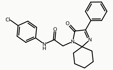 O=C(CN1C(=O)C(c2ccccc2)=NC12CCCCC2)Nc1ccc(Cl)cc1